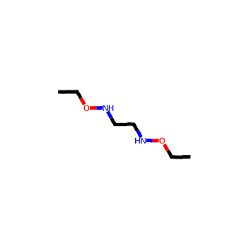 CCONCCNOCC